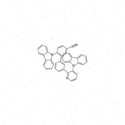 N#Cc1ccc(-n2c3ccccc3c3ccccc32)c(-c2cccc(-c3ncccc3-n3c4ccccc4c4ccccc43)c2)c1